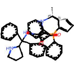 C[C@@H](Nc1c(NC(c2ccccc2)(c2ccccc2)C2CCCN2)c(=O)c1=O)[C@@H]1C=CC=C1P(c1ccccc1)c1ccccc1